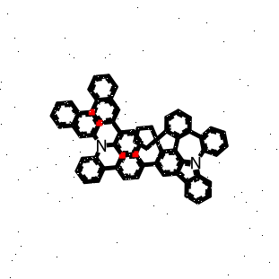 c1ccc(N(c2ccc3ccccc3c2)c2ccccc2-c2ccc3ccccc3c2)c(-c2ccc(-c3cc4c5ccccc5n5c4c4c3C3(CCCC3)c3cccc(c3-4)-c3ccccc3-5)cc2)c1